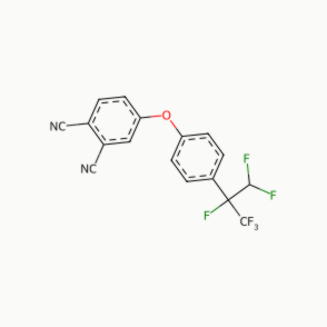 N#Cc1ccc(Oc2ccc(C(F)(C(F)F)C(F)(F)F)cc2)cc1C#N